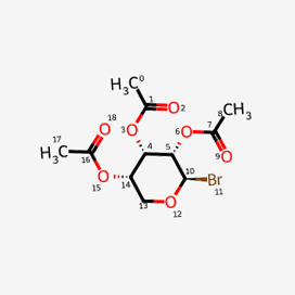 CC(=O)O[C@@H]1[C@H](OC(C)=O)[C@@H](Br)OC[C@@H]1OC(C)=O